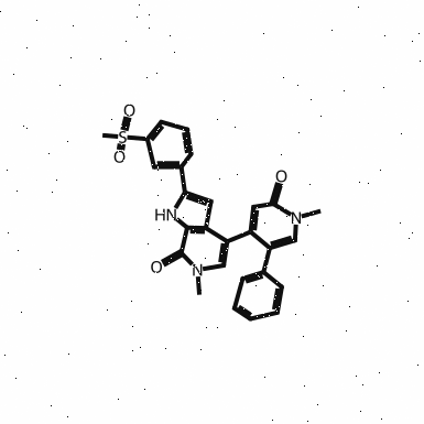 Cn1cc(-c2ccccc2)c(-c2cn(C)c(=O)c3[nH]c(-c4cccc(S(C)(=O)=O)c4)cc23)cc1=O